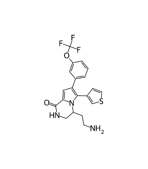 NCCC1CNC(=O)c2cc(-c3cccc(OC(F)(F)F)c3)c(-c3ccsc3)n21